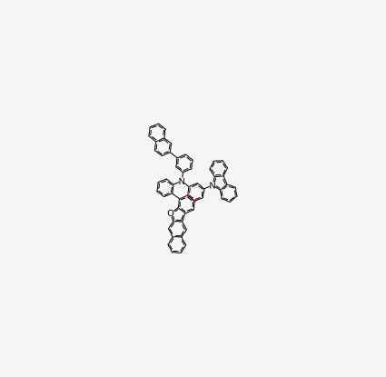 c1cc(-c2ccc3ccccc3c2)cc(N(c2cccc(-n3c4ccccc4c4ccccc43)c2)c2ccccc2-c2cccc3c2oc2cc4ccccc4cc23)c1